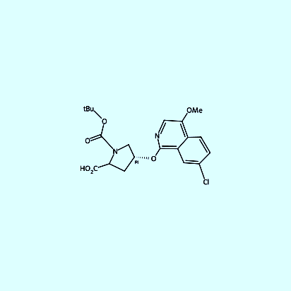 COc1cnc(O[C@@H]2CC(C(=O)O)N(C(=O)OC(C)(C)C)C2)c2cc(Cl)ccc12